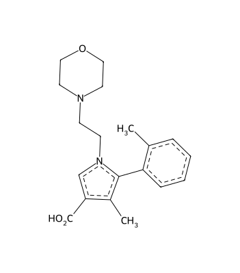 Cc1ccccc1-c1c(C)c(C(=O)O)cn1CCN1CCOCC1